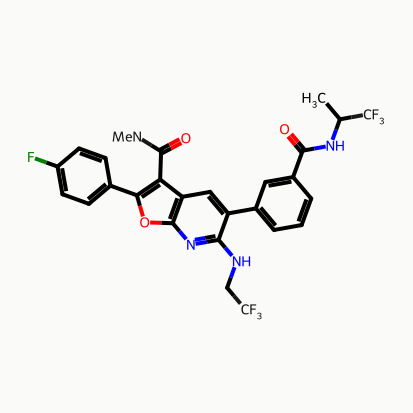 CNC(=O)c1c(-c2ccc(F)cc2)oc2nc(NCC(F)(F)F)c(-c3cccc(C(=O)NC(C)C(F)(F)F)c3)cc12